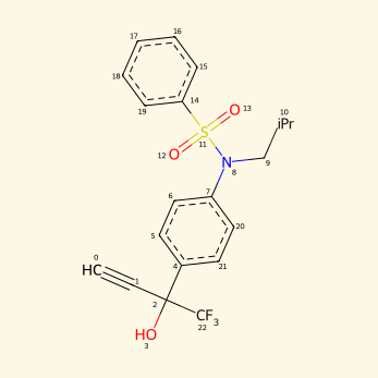 C#CC(O)(c1ccc(N(CC(C)C)S(=O)(=O)c2ccccc2)cc1)C(F)(F)F